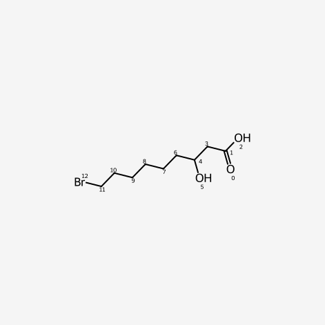 O=C(O)CC(O)CCCCCCBr